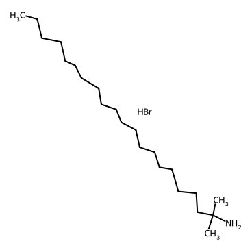 Br.CCCCCCCCCCCCCCCCCCCC(C)(C)N